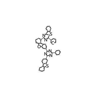 c1ccc(-c2nc(-c3ccc4c(c3)oc3cccc(-c5nc(-c6ccccc6)c6sc7ccccc7c6n5)c34)nc(-c3ccc4c(c3)sc3ccccc34)n2)cc1